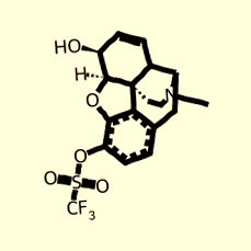 CN1CC[C@]23c4c5ccc(OS(=O)(=O)C(F)(F)F)c4O[C@H]2[C@@H](O)C=CC3C1C5